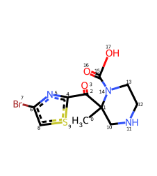 CC1(C(=O)c2nc(Br)cs2)CNCCN1C(=O)O